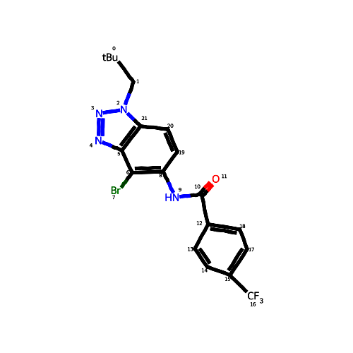 CC(C)(C)Cn1nnc2c(Br)c(NC(=O)c3ccc(C(F)(F)F)cc3)ccc21